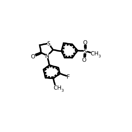 Cc1ccc(N2C(=O)CSC2c2ccc(S(C)(=O)=O)cc2)cc1F